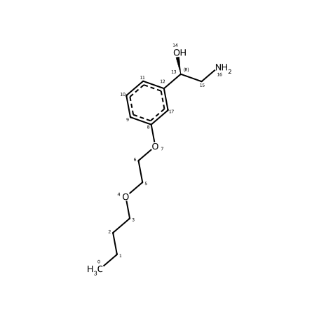 CCCCOCCOc1cccc([C@@H](O)CN)c1